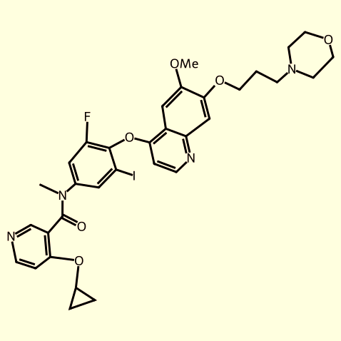 COc1cc2c(Oc3c(F)cc(N(C)C(=O)c4cnccc4OC4CC4)cc3I)ccnc2cc1OCCCN1CCOCC1